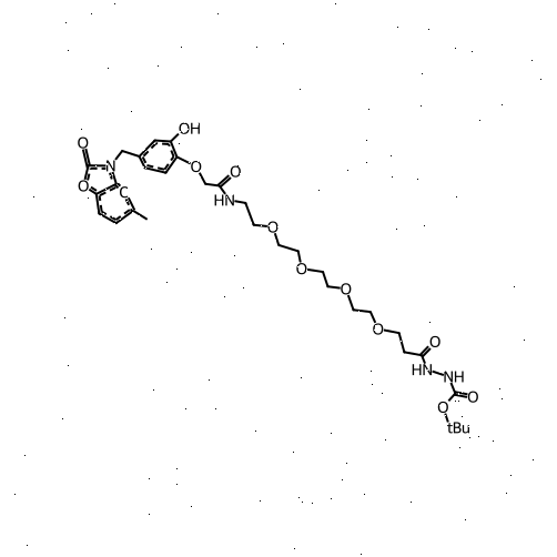 Cc1ccc2oc(=O)n(Cc3ccc(OCC(=O)NCCOCCOCCOCCOCCC(=O)NNC(=O)OC(C)(C)C)c(O)c3)c2c1